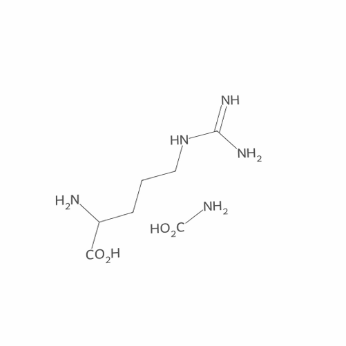 N=C(N)NCCCC(N)C(=O)O.NC(=O)O